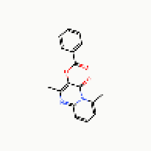 Cc1nc2cccc(C)n2c(=O)c1OC(=O)c1ccccc1